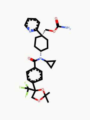 CC1(C)OCC(c2ccc(C(=O)N(C3CC3)[C@H]3CC[C@](COC(N)=O)(c4ccccn4)CC3)cc2)(C(F)(F)F)O1